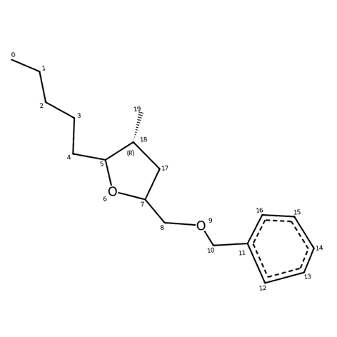 CCCCCC1OC(COCc2ccccc2)C[C@H]1C